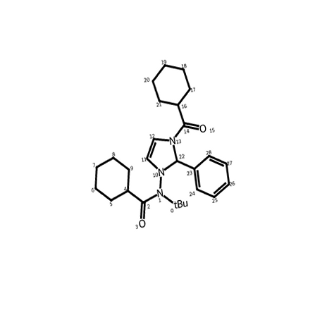 CC(C)(C)N(C(=O)C1CCCCC1)N1C=CN(C(=O)C2CCCCC2)C1c1ccccc1